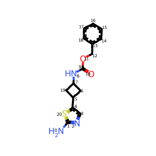 Nc1ncc(C2CC(NC(=O)OCc3ccccc3)C2)s1